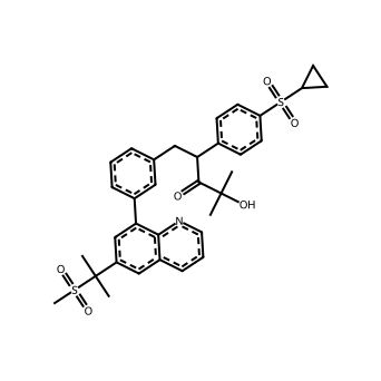 CC(C)(O)C(=O)C(Cc1cccc(-c2cc(C(C)(C)S(C)(=O)=O)cc3cccnc23)c1)c1ccc(S(=O)(=O)C2CC2)cc1